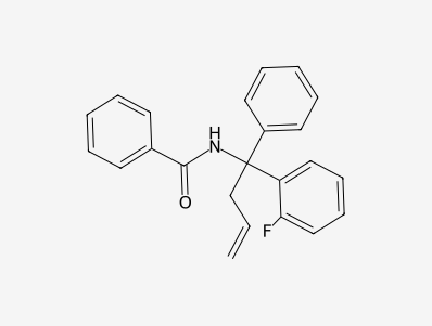 C=CCC(NC(=O)c1ccccc1)(c1ccccc1)c1ccccc1F